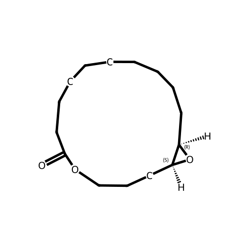 O=C1CCCCCCCCC[C@H]2O[C@H]2CCCO1